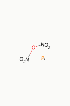 O=[N+]([O-])O[N+](=O)[O-].[P]